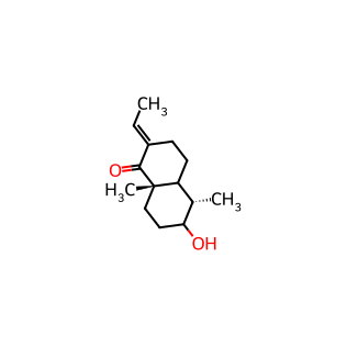 C/C=C1\CCC2[C@H](C)C(O)CC[C@]2(C)C1=O